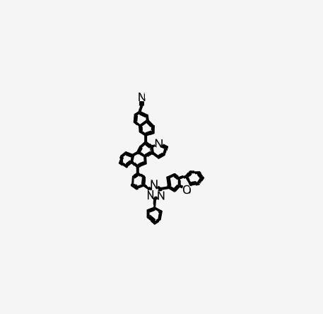 N#Cc1ccc2cc(-c3cc4c5ccccc5c(-c5cccc(-c6nc(-c7ccccc7)nc(-c7ccc8c(c7)oc7ccccc78)n6)c5)cc4c4cccnc34)ccc2c1